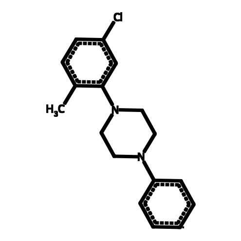 Cc1ccc(Cl)cc1N1CCN(c2cc[c]cc2)CC1